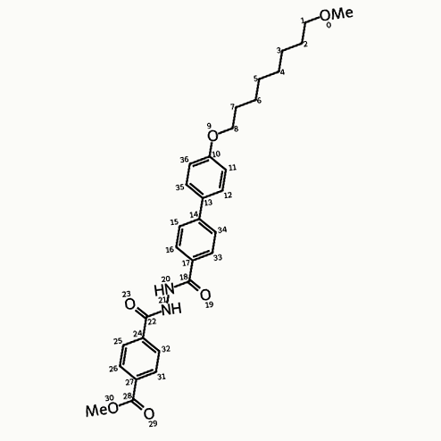 COCCCCCCCCOc1ccc(-c2ccc(C(=O)NNC(=O)c3ccc(C(=O)OC)cc3)cc2)cc1